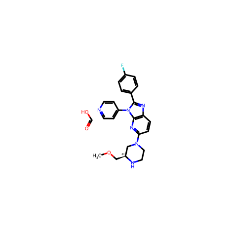 COC[C@H]1CN(c2ccc3nc(-c4ccc(F)cc4)n(-c4ccncc4)c3n2)CCN1.O=CO